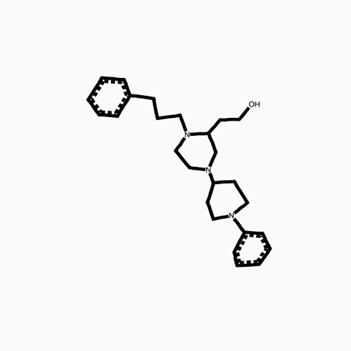 OCCC1CN(C2CCN(c3ccccc3)CC2)CCN1CCCc1ccccc1